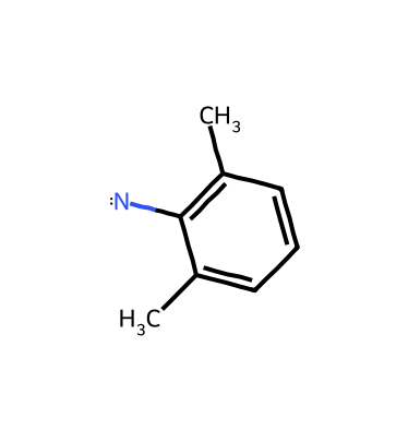 Cc1cccc(C)c1[N]